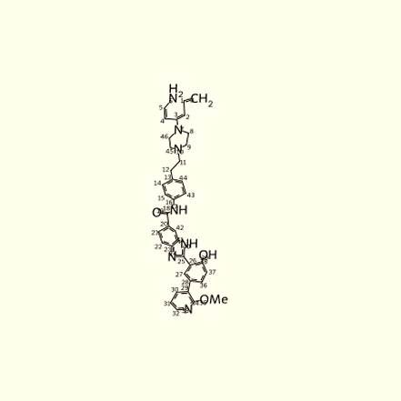 C=C/C=C(\C=C/N)N1CCN(CCc2ccc(NC(=O)c3ccc4nc(-c5cc(-c6cccnc6OC)ccc5O)[nH]c4c3)cc2)CC1